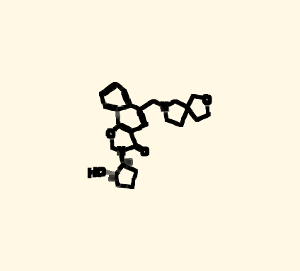 O=C1c2cc(CN3CCC4(CCOC4)C3)c3ccccc3c2OCN1[C@H]1CCC[C@@H]1O